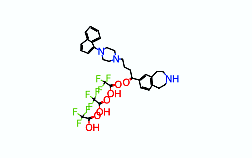 O=C(CCCN1CCN(c2cccc3ccccc23)CC1)c1ccc2c(c1)CCNCC2.O=C(O)C(F)(F)F.O=C(O)C(F)(F)F.O=C(O)C(F)(F)F